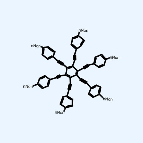 CCCCCCCCCc1ccc(C#Cc2c(C#Cc3ccc(CCCCCCCCC)cc3)c(C#Cc3ccc(CCCCCCCCC)cc3)c(C#Cc3ccc(CCCCCCCCC)cc3)c(C#Cc3ccc(CCCCCCCCC)cc3)c2C#Cc2ccc(CCCCCCCCC)cc2)cc1